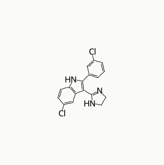 Clc1cccc(-c2[nH]c3ccc(Cl)cc3c2C2=NCCN2)c1